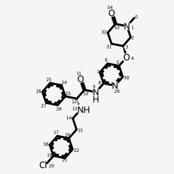 CN1C[C@@H](Oc2ccc(NC(=O)[C@H](NCCc3ccc(Cl)cc3)c3ccccc3)nc2)CCC1=O